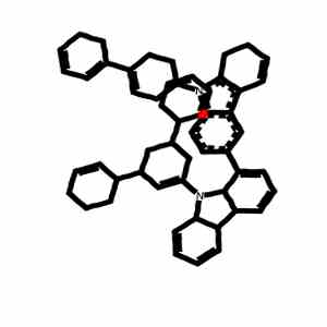 C1=CCCC(C2=CCC(n3c4c(c5cc(C6=CC=CC7C8C=CC=CC8N(C8=CC(C9C=CCCC9)CC(C9C=CC=CC9)C8)C67)ccc53)C=CCC4)CC2)=C1